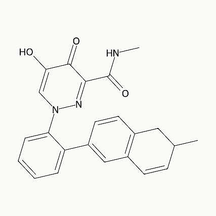 CNC(=O)c1nn(-c2ccccc2-c2ccc3c(c2)C=CC(C)C3)cc(O)c1=O